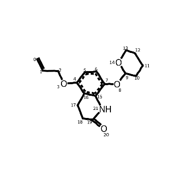 C=CCOc1ccc(OC2CCCCO2)c2c1CCC(=O)N2